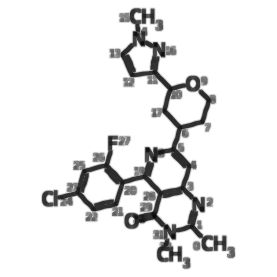 Cc1nc2cc(C3CCOC(c4ccn(C)n4)C3)nc(-c3ccc(Cl)cc3F)c2c(=O)n1C